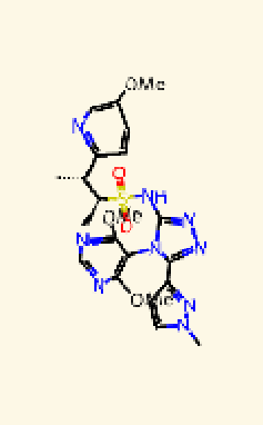 COc1ccc([C@@H](C)[C@H](C)S(=O)(=O)Nc2nnc(-c3ccn(C)n3)n2-c2c(OC)ncnc2OC)nc1